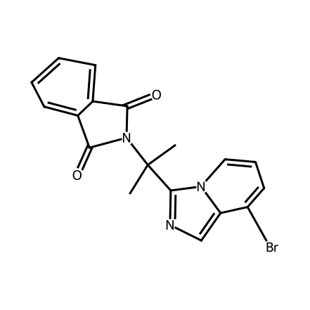 CC(C)(c1ncc2c(Br)cccn12)N1C(=O)c2ccccc2C1=O